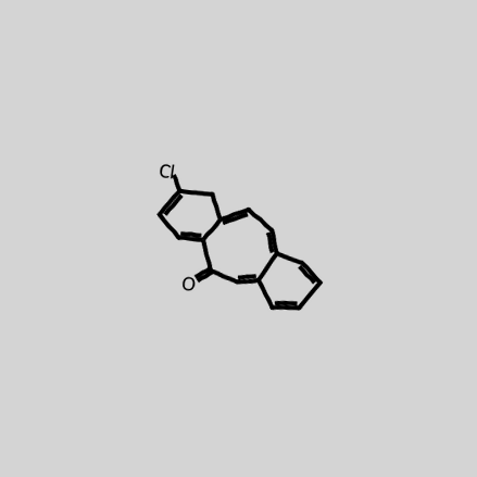 O=C1/C=c2/cccc/c2=C/C=C2/CC(Cl)=CC=C12